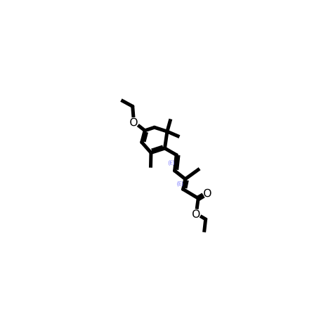 CCOC(=O)/C=C(C)/C=C/C1=C(C)C=C(OCC)CC1(C)C